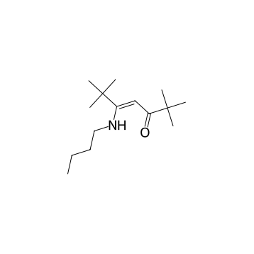 CCCCN/C(=C\C(=O)C(C)(C)C)C(C)(C)C